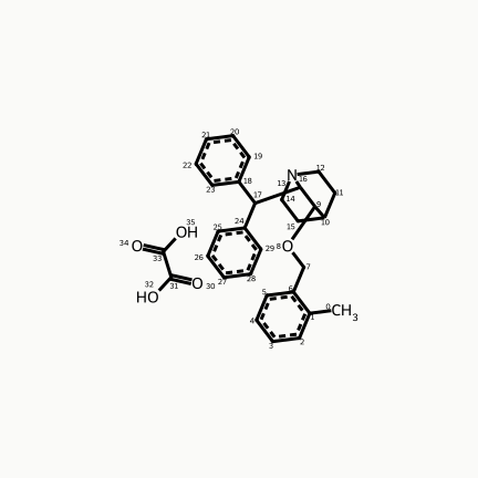 Cc1ccccc1COC1C2CCN(CC2)C1C(c1ccccc1)c1ccccc1.O=C(O)C(=O)O